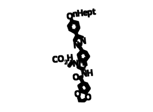 CCCCCCCOc1ccc(-c2cnc(-c3ccc(C[C@@H](CN[C@H](C)C(=O)O)NC(=O)c4ccc5c(c4)OCCO5)cc3)nc2)cc1